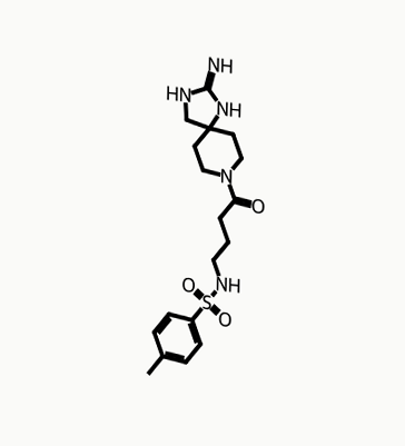 Cc1ccc(S(=O)(=O)NCCCC(=O)N2CCC3(CC2)CNC(=N)N3)cc1